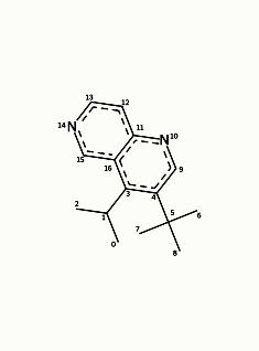 CC(C)c1c(C(C)(C)C)cnc2ccncc12